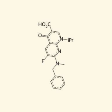 CC(C)n1cc(C(=O)O)c(=O)c2cc(F)c(N(C)Cc3ccccc3)nc21